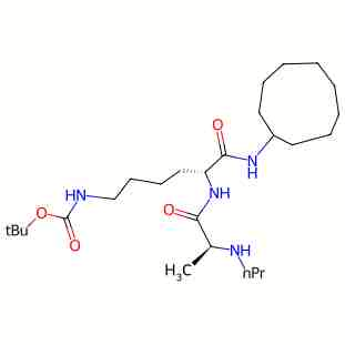 CCCN[C@@H](C)C(=O)N[C@H](CCCCNC(=O)OC(C)(C)C)C(=O)NC1CCCCCCCC1